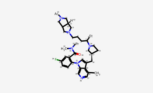 CCC(CCCN1CC2CN(C(C)=O)C[C@@H]2C1)N1CC[C@@H](Cc2cn(-c3ccc(F)cc3C(=O)N(C)C(C)C)c3cncc(C)c23)C1